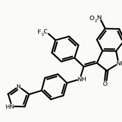 O=C1Nc2ccc([N+](=O)[O-])cc2C1=C(Nc1ccc(-c2c[nH]cn2)cc1)c1ccc(C(F)(F)F)cc1